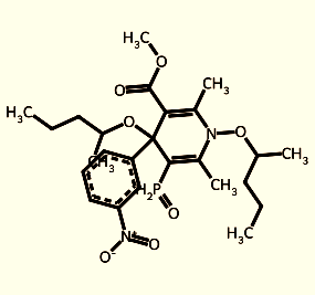 CCCC(C)ON1C(C)=C([PH2]=O)C(OC(C)CCC)(c2cccc([N+](=O)[O-])c2)C(C(=O)OC)=C1C